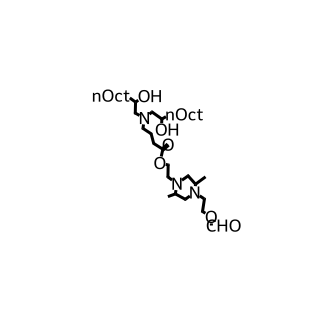 CCCCCCCCC(O)CN(CCCC(=O)OCCN1CC(C)N(CCOC=O)CC1C)CC(O)CCCCCCCC